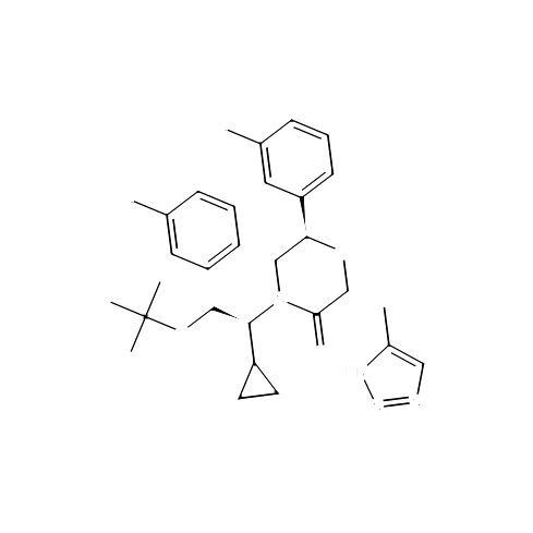 CC(C)(C)SC[C@H](C1CC1)N1C(=O)[C@@H](Cc2cnn[nH]2)O[C@H](c2cccc(Cl)c2)[C@H]1c1ccc(Cl)cc1